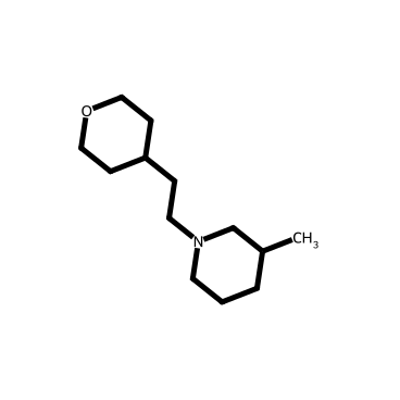 CC1CCCN(CCC2CCOCC2)C1